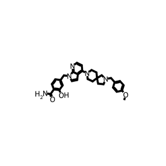 COc1ccc(CN2CCC3(CCN(c4ccnc5c4ccn5Cc4ccc(C(N)=O)c(O)c4)CC3)C2)cc1